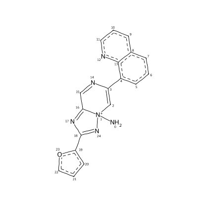 N[N+]12C=C(c3cccc4cccnc34)N=CC1=NC(c1ccco1)=N2